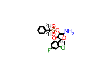 [2H]C([2H])(c1ccccc1)S(=O)(=O)OC1=C(N)O[C@@]([2H])(c2ccc(F)cc2Cl)C1=O